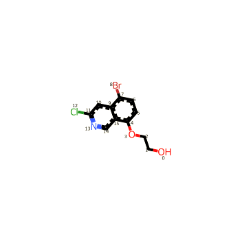 OCCOc1ccc(Br)c2cc(Cl)ncc12